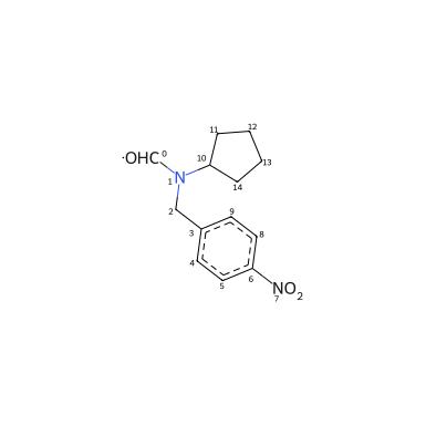 O=[C]N(Cc1ccc([N+](=O)[O-])cc1)C1CCCC1